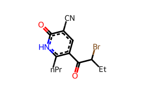 CCCc1[nH]c(=O)c(C#N)cc1C(=O)C(Br)CC